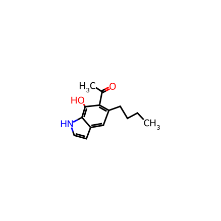 CCCCc1cc2cc[nH]c2c(O)c1C(C)=O